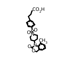 Cc1cccc2c1N(C1CCN(S(=O)(=O)c3ccc(CCCC(=O)O)cc3)CC1)C(=O)OC2